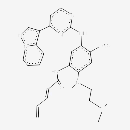 C=C/C=C/C(=O)Nc1cc(Nc2nccc(-c3cnn4ccccc34)n2)c(OC)cc1N(C)CCN(C)C